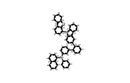 c1ccc(N(c2cccc(-c3ccccc3-c3ccc4c(c3)c3ccccc3n4-c3cccc4c3oc3ccccc34)c2)c2cccc3ccccc23)cc1